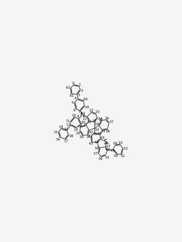 c1ccc(-c2ccc(N(c3ccc(-c4ccccc4)cc3)c3cccc4c3-c3ccccc3C43c4ccccc4-c4c3ccc3c4sc4c(-c5ccccc5)cccc43)cc2)cc1